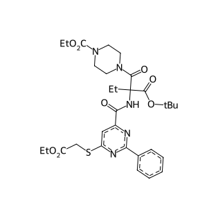 CCOC(=O)CSc1cc(C(=O)NC(CC)(C(=O)OC(C)(C)C)C(=O)N2CCN(C(=O)OCC)CC2)nc(-c2ccccc2)n1